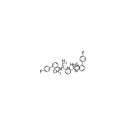 C/C(=N\c1cccc(-c2ccc(F)cc2)c1C)c1cccc(/C(C)=N/c2cccc(-c3ccc(F)cc3)c2C)n1